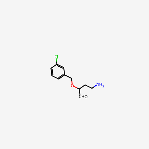 NCCC(C=O)OCc1cccc(Cl)c1